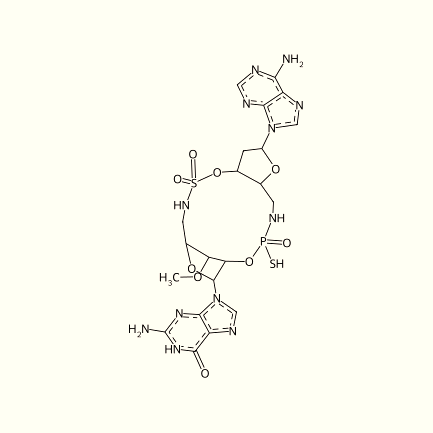 COC1C2CNS(=O)(=O)OC3CC(n4cnc5c(N)ncnc54)OC3CNP(=O)(S)OC1C(n1cnc3c(=O)[nH]c(N)nc31)O2